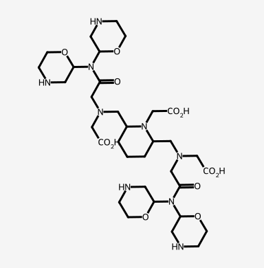 O=C(O)CN(CC(=O)N(C1CNCCO1)C1CNCCO1)CC1CCCC(CN(CC(=O)O)CC(=O)N(C2CNCCO2)C2CNCCO2)N1CC(=O)O